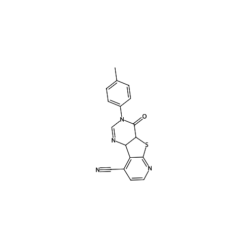 Cc1ccc(N2C=NC3c4c(C#N)ccnc4SC3C2=O)cc1